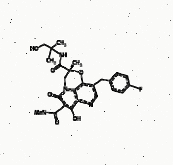 CNC(=O)c1c(O)c2ncc(Cc3ccc(F)cc3)c3c2n(c1=O)C[C@](C)(C(=O)NC(C)(C)CO)O3